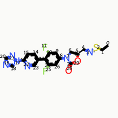 CCS[N]C[C@@H]1CN(c2cc(F)c(-c3ccc(-n4cncn4)nc3)c(F)c2)C(=O)O1